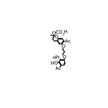 CCCc1c(OCCCOc2cc3c(cc2C(C)=O)OC(C)(OC(=O)O)CC3)ccc(C(C)=O)c1O